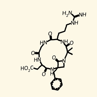 CC1(C)C(=O)NC(CCCNC(=N)N)C(=O)NCC(=O)NC(CC(=O)O)C(=O)NC2(Cc3ccccc3)CN1C2=O